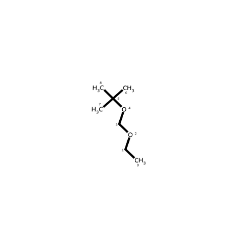 CCO[CH]OC(C)(C)C